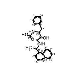 C[C@@H](NC[C@@H](O)[C@H](Cc1ccccc1)NC(=O)O)c1cccc2ccccc12